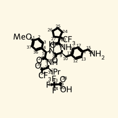 COc1ccc([C@H](NC(=O)[C@H](Cc2ccc(CN)cc2)NC(=O)C2(C(F)(F)F)CCCC2)C(=O)N[C@H](C(=O)C(F)(F)F)C(C)C)cc1.O=C(O)C(F)(F)F